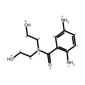 Nc1ccc(N)c(C(=O)N(CCO)CCO)c1